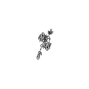 COC(=O)N[C@H](C(=O)N[C@@H](Cc1ccc(C#Cc2ccc(N3C[C@@H](C)O[C@@H](C)C3)nc2)cc1)[C@@H](O)CN(Cc1c(F)cc(-c2cnn(C(F)F)c2)cc1F)NC(=O)[C@@H](NC(=O)OC)C(C)(C)C(F)(F)F)C(C)(C)C(F)(F)F